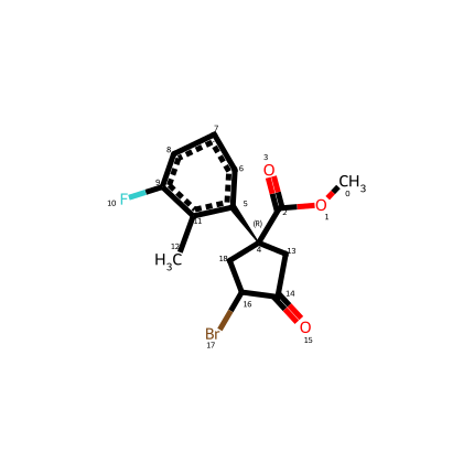 COC(=O)[C@]1(c2cccc(F)c2C)CC(=O)C(Br)C1